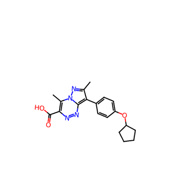 Cc1nn2c(C)c(C(=O)O)nnc2c1-c1ccc(OC2CCCC2)cc1